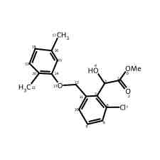 COC(=O)C(O)c1c(Cl)cccc1COc1cc(C)ccc1C